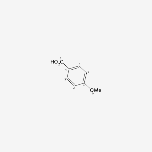 [CH2]Oc1ccc(C(=O)O)cc1